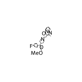 COCCOC(c1ccc(F)cc1)C1CCN(CCc2c(C)nc3ccccn3c2=O)CC1